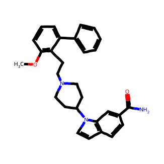 COc1cccc(-c2ccccc2)c1CCN1CCC(n2ccc3ccc(C(N)=O)cc32)CC1